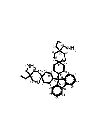 CCC1(CN)COC2(CCC(C3(C4CCC5(CC4)OCC(CC)(CN)CO5)c4ccccc4-c4ccccc43)CC2)OC1